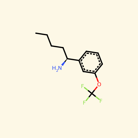 CCCC[C@H](N)c1cccc(OC(F)(F)F)c1